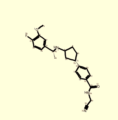 COc1cc([C@@H](C)NC2CC[C@H](c3ccc(C(=O)NCC#N)cc3)C2)ccc1F